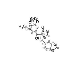 COc1cc([C@@H](O)[C@H]2C(=O)OC[C@@H]2Cc2ccc3c(c2)OCO3)cc(OC)c1OC